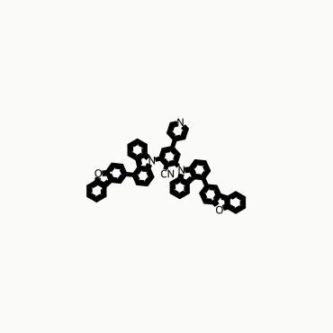 N#Cc1c(-n2c3ccccc3c3c(-c4ccc5oc6ccccc6c5c4)cccc32)cc(-c2ccncc2)cc1-n1c2ccccc2c2c(-c3ccc4oc5ccccc5c4c3)cccc21